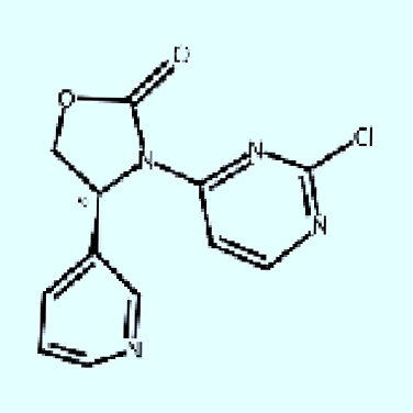 O=C1OC[C@H](c2cccnc2)N1c1ccnc(Cl)n1